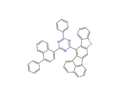 c1ccc(-c2nc(-c3ccc(-c4ccccc4)c4ccccc34)nc(-c3c4c(cc5sc6ccccc6c35)-c3cccc5cccc-4c35)n2)cc1